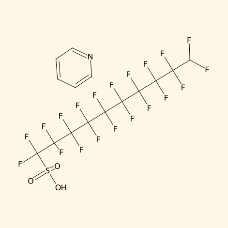 O=S(=O)(O)C(F)(F)C(F)(F)C(F)(F)C(F)(F)C(F)(F)C(F)(F)C(F)(F)C(F)(F)C(F)(F)C(F)F.c1ccncc1